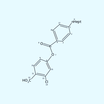 CCCCCCCc1ccc(C(=O)Oc2ccc(C(=O)O)c(Cl)c2)cc1